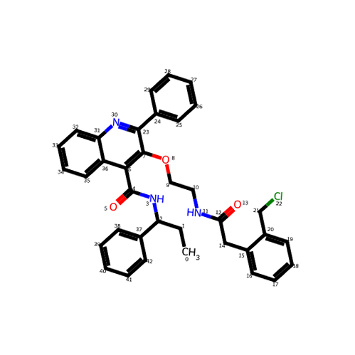 CCC(NC(=O)c1c(OCCNC(=O)Cc2ccccc2CCl)c(-c2ccccc2)nc2ccccc12)c1ccccc1